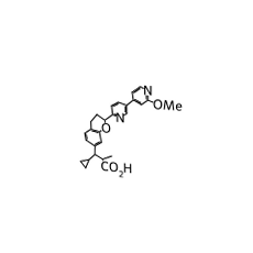 COc1cc(-c2ccc(C3CCc4ccc(C(C5CC5)[C@H](C)C(=O)O)cc4O3)nc2)ccn1